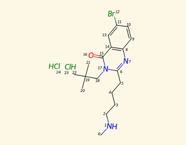 CNCCCCc1nc2ccc(Br)cc2c(=O)n1CC(C)(C)C.Cl.Cl